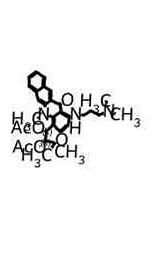 CC(=O)O[C@@H]1c2c(cc(NCCCN(C)C)c3c(=O)c4cc5ccccc5cc4n(C)c23)OC(C)(C)[C@@H]1OC(C)=O